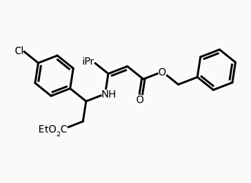 CCOC(=O)CC(N/C(=C\C(=O)OCc1ccccc1)C(C)C)c1ccc(Cl)cc1